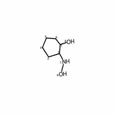 ONC1CCCCC1O